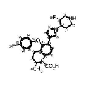 C[C@H]1CCc2c(ccc(-c3cnn([C@@H]4CCNC[C@H]4F)c3)c2Oc2ccc(F)cc2)N1C(=O)O